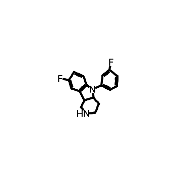 Fc1cccc(N2c3ccc(F)cc3C3CNCCC32)c1